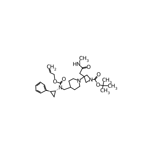 C=CCOC(=O)N(CC1CCN(C2(CC(=O)NC)CN(C(=O)OC(C)(C)C)C2)CC1)[C@@H]1C[C@H]1c1ccccc1